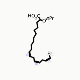 CC/C=C\C/C=C\C/C=C\CCCCCCCCC(OCCC)C(=O)O